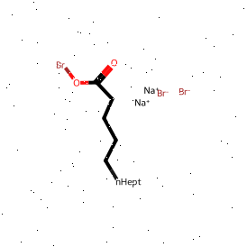 CCCCCCCCCCCC(=O)OBr.[Br-].[Br-].[Na+].[Na+]